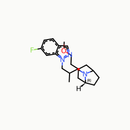 COCCC1CC2CC[C@H](C1)N2CC(C)Cn1ncc2ccc(F)cc21